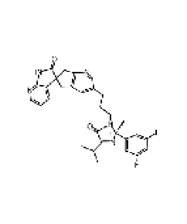 CC(C)C1=N[C@@](C)(c2cc(F)cc(F)c2)N(CCCc2cnc3c(c2)CC2(C3)C(=O)Nc3ncccc32)C1=O